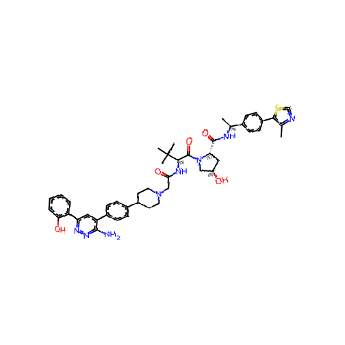 Cc1ncsc1-c1ccc([C@H](C)NC(=O)[C@@H]2C[C@@H](O)CN2C(=O)[C@@H](NC(=O)CN2CCC(c3ccc(-c4cc(-c5ccccc5O)nnc4N)cc3)CC2)C(C)(C)C)cc1